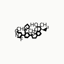 COc1cc(-c2ccc(C3CCc4ccc([C@H](C5CC5)[C@H](C)C(=O)O)cc4O3)cc2CN2CCCC2C)c(F)cn1